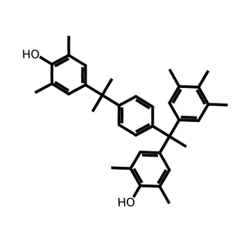 Cc1cc(C(C)(c2ccc(C(C)(C)c3cc(C)c(O)c(C)c3)cc2)c2cc(C)c(O)c(C)c2)cc(C)c1C